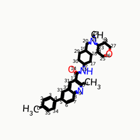 Cc1ccc(-c2ccc3nc(C)c(C(=O)NC4CCC(CN(C)C5CCOCC5)CC4)cc3c2)cc1